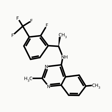 Cc1ccc2nc(C)nc(N[C@H](C)c3cccc(C(F)(F)F)c3F)c2c1